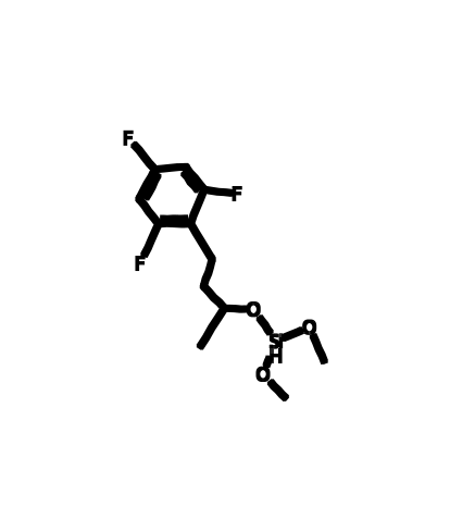 CO[SiH](OC)OC(C)CCc1c(F)cc(F)cc1F